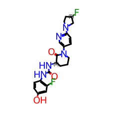 O=C(Nc1ccc(O)cc1F)N[C@@H]1CCCN(c2ccc(N3CC[C@@H](F)C3)nc2)C1=O